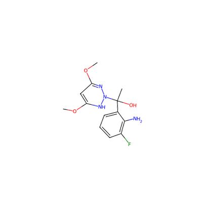 COC1=CC(OC)=NN(C(C)(O)c2cccc(F)c2N)N1